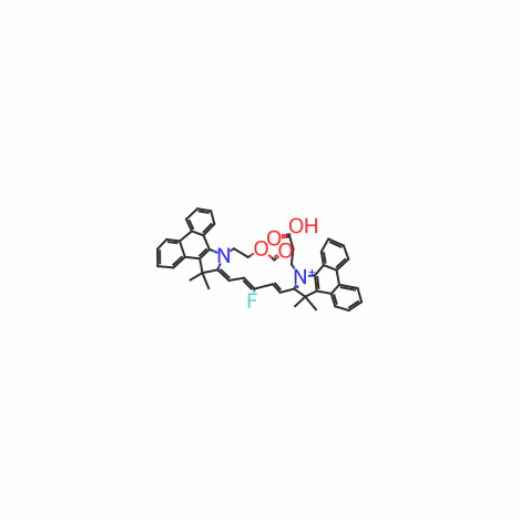 CC1(C)C(/C=C/C(F)=C/C=C2\N(CCOC=O)c3c(c4ccccc4c4ccccc34)C2(C)C)=[N+](CCC(=O)O)c2c1c1ccccc1c1ccccc21